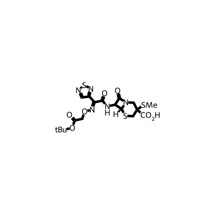 CSC1(C(=O)O)CS[C@@H]2C(NC(=O)C(=NOCC(=O)OC(C)(C)C)c3cnsn3)C(=O)N2C1